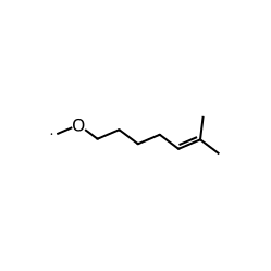 [CH2]OCCCCC=C(C)C